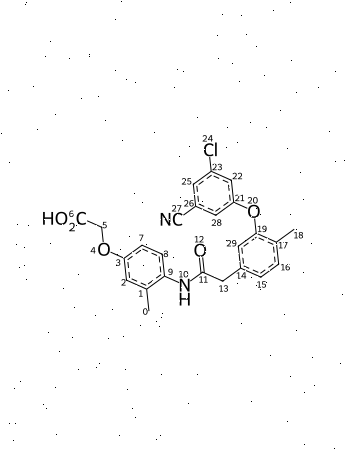 Cc1cc(OCC(=O)O)ccc1NC(=O)Cc1ccc(C)c(Oc2cc(Cl)cc(C#N)c2)c1